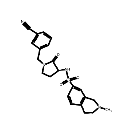 CN1CCc2ccc(S(=O)(=O)N[C@H]3CCN(Cc4cccc(C#N)c4)C3=O)cc2C1